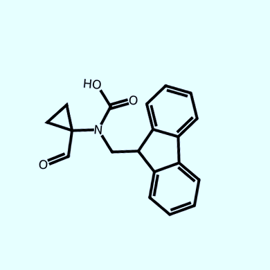 O=CC1(N(CC2c3ccccc3-c3ccccc32)C(=O)O)CC1